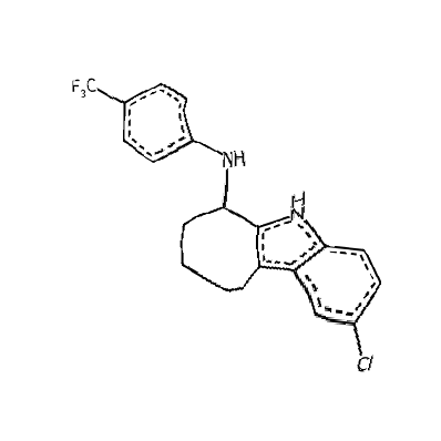 FC(F)(F)c1ccc(NC2CCCc3c2[nH]c2ccc(Cl)cc32)cc1